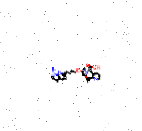 O=C(O)[C@H](c1cccnc1C1CC1)N1CC[C@@H](OCCCCc2ccc3c(n2)NCCC3)C1